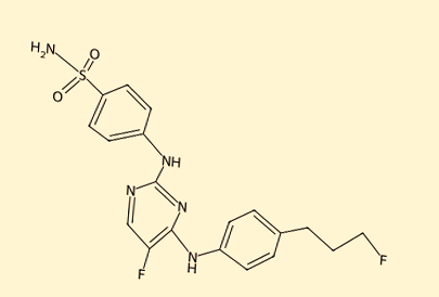 NS(=O)(=O)c1ccc(Nc2ncc(F)c(Nc3ccc(CCCF)cc3)n2)cc1